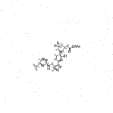 CCc1nc(-c2nnn(C)c2CNc2nncc(C3CC3)n2)ccc1N1C[C@H](CC(=O)OC)CC(F)(F)C1